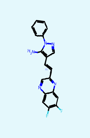 Nc1c(/C=C/c2cnc3cc(F)c(F)cc3n2)cnn1-c1ccccc1